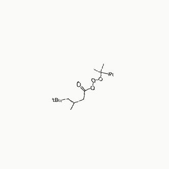 CC(CC(=O)OOOC(C)(C)C(C)C)CC(C)(C)C